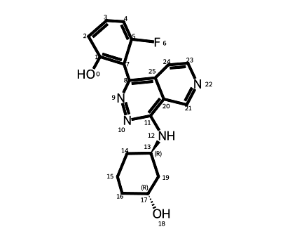 Oc1cccc(F)c1-c1nnc(N[C@@H]2CCC[C@@H](O)C2)c2cnccc12